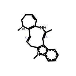 C/C1=C\c2c(n(C)c3ccccc23)C/C=C/C2=C(C=CCC[C@@H]2C)N1